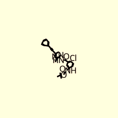 Cc1nc(C#Cc2ccccc2)cnc1NC(=O)c1cc(NC(=O)OC(C)(C)C)ccc1Cl